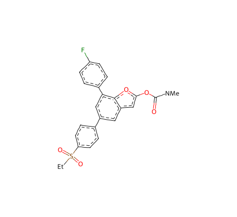 CCS(=O)(=O)c1ccc(-c2cc(-c3ccc(F)cc3)c3oc(OC(=O)NC)cc3c2)cc1